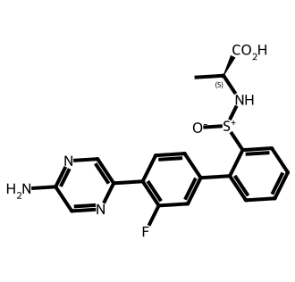 C[C@H](N[S+]([O-])c1ccccc1-c1ccc(-c2cnc(N)cn2)c(F)c1)C(=O)O